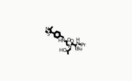 Cc1ncsc1-c1ccc(CNC(=O)CN(CC(C)O)C(=O)C(NC(C)C)C(C)(C)C)cc1